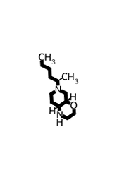 CCCC[C@H](C)N1CC[C@@H]2NCCO[C@H]2C1